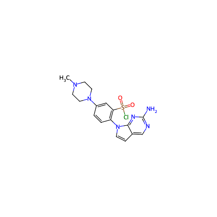 CN1CCN(c2ccc(-n3ccc4cnc(N)nc43)c(S(=O)(=O)Cl)c2)CC1